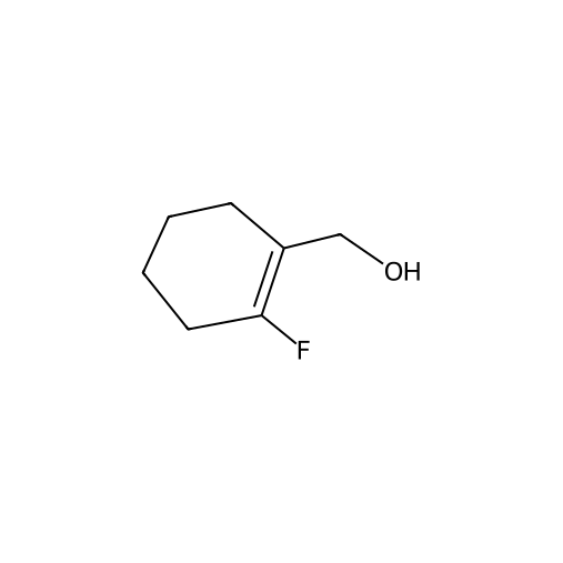 OCC1=C(F)CCCC1